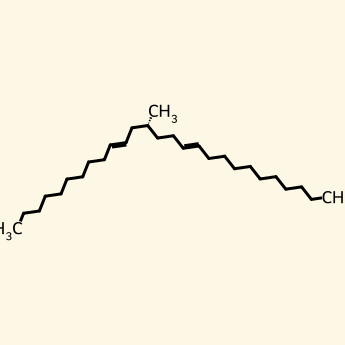 CCCCCCCCCC=CC[C@H](C)CCC=CCCCCCCCCCC